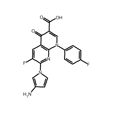 Nc1ccn(-c2nc3c(cc2F)c(=O)c(C(=O)O)cn3-c2ccc(F)cc2)c1